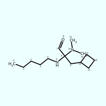 CCCCCNC(C=O)(CC1CCC1)N(C)C